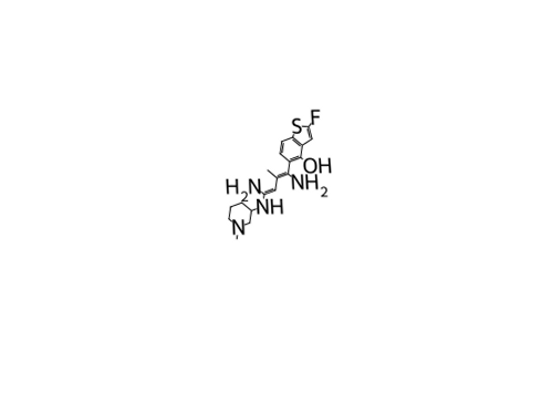 CC(/C=C(\N)NC1CCCN(C)C1)=C(/N)c1ccc2sc(F)cc2c1O